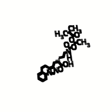 CC(OC(=O)NCCC[C@@H](Cc1ncn2c1CCc1ccccc1-2)C(=O)O)OC(=O)C(C)C